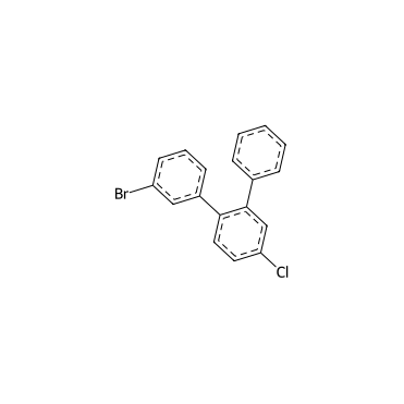 Clc1ccc(-c2cccc(Br)c2)c(-c2ccccc2)c1